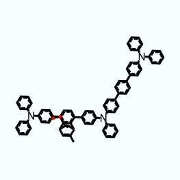 CC1=CC2C(C(C)C)=CC1c1c(-c3ccc(N(c4ccccc4)c4ccc(-c5ccc(-c6ccc(N(c7ccccc7)c7ccccc7)cc6)cc5)cc4)cc3)ccc(-c3ccc(N(c4ccccc4)c4ccccc4)cc3)c12